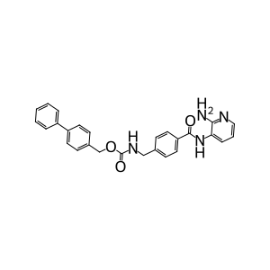 Nc1ncccc1NC(=O)c1ccc(CNC(=O)OCc2ccc(-c3ccccc3)cc2)cc1